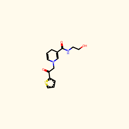 O=C(NCCO)C1=CN(CC(=O)c2cccs2)C=CC1